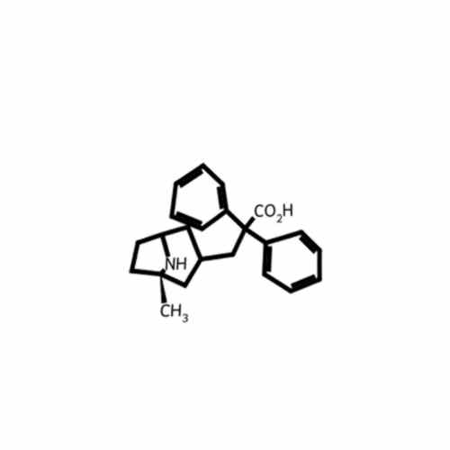 C[C@]12CCC(CC(CC(C(=O)O)(c3ccccc3)c3ccccc3)C1)N2